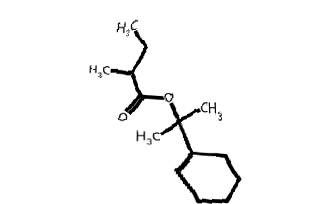 CCC(C)C(=O)OC(C)(C)C1CCCCC1